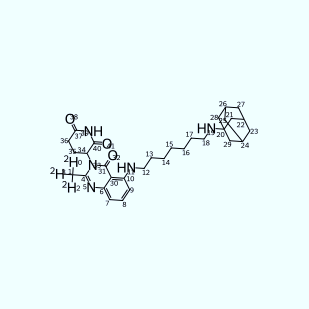 [2H]C([2H])([2H])c1nc2cccc(NCCCCCCCNC34CC5CC(CC(C5)C3)C4)c2c(=O)n1C1CCC(=O)NC1=O